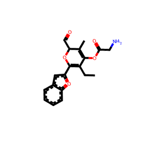 CCC1=C(c2cc3ccccc3o2)OC(C=O)C(C)=C1OC(=O)CN